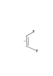 F/[C]=C\F